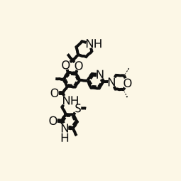 CSc1cc(C)[nH]c(=O)c1CNC(=O)c1cc(-c2ccc(N3C[C@@H](C)O[C@@H](C)C3)nc2)c2c(c1C)OC(C)(C1CCNCC1)O2